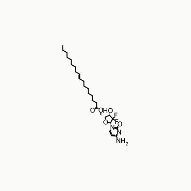 CCCCCCCC/C=C/CCCCCCCC(=O)OC[C@H]1O[C@@H](n2ccc(N)nc2=O)C(F)(F)[C@H]1O